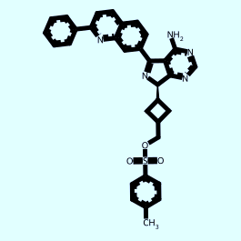 Cc1ccc(S(=O)(=O)OCC2CC([C@H]3N=C(c4ccc5ccc(-c6ccccc6)nc5c4)c4c(N)ncnc43)C2)cc1